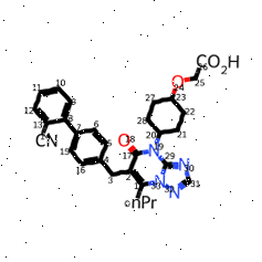 CCCc1c(Cc2ccc(-c3ccccc3C#N)cc2)c(=O)n(C2CCC(OCC(=O)O)CC2)c2ncnn12